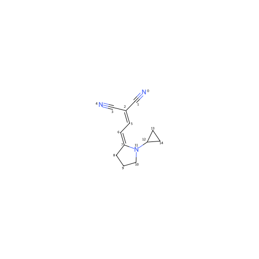 N#CC(C#N)=C/C=C1/CCCN1C1CC1